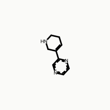 C1=C(c2cnccn2)CNCC1